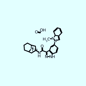 CN1C2CCCC1CC(NC(=O)c1n[nH]c3ccc(N4C=C5C=CC=CC5N4C)cc13)C2.O=CO